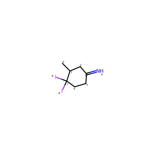 CC1CC(=N)CCC1(I)I